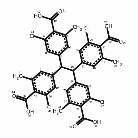 Cc1cc(C(c2cc(C)c(C(=O)O)c(Cl)c2)C(c2cc(C)c(C(=O)O)c(Cl)c2)c2cc(C)c(C(=O)O)c(Cl)c2)cc(Cl)c1C(=O)O